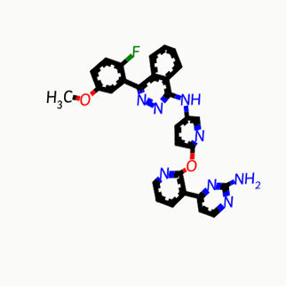 COc1ccc(F)c(-c2nnc(Nc3ccc(Oc4ncccc4-c4ccnc(N)n4)nc3)c3ccccc23)c1